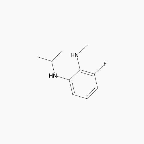 CNc1c(F)cccc1NC(C)C